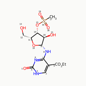 CCOC(=O)c1c[nH]c(=O)nc1N[C@@H]1O[C@H](CO)[C@H](OS(C)(=O)=O)[C@H]1O